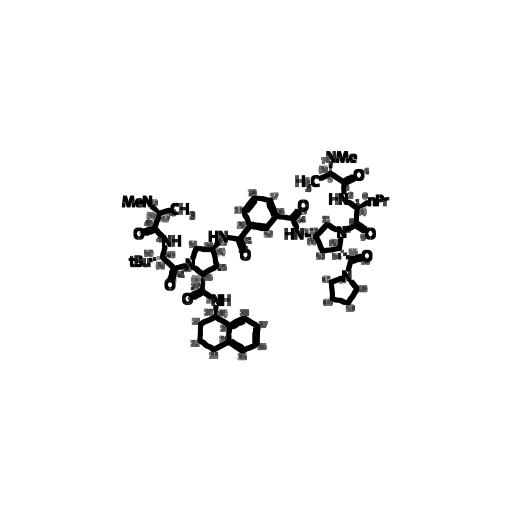 CCC[C@H](NC(=O)[C@H](C)NC)C(=O)N1C[C@@H](NC(=O)c2cccc(C(=O)N[C@H]3C[C@@H](C(=O)N[C@@H]4CCCc5ccccc54)N(C(=O)[C@@H](NC(=O)[C@H](C)NC)C(C)(C)C)C3)c2)C[C@H]1C(=O)N1CCCC1